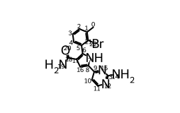 Cc1cccc(-c2[nH]c(-c3ccnc(N)n3)cc2C(N)=O)c1Br